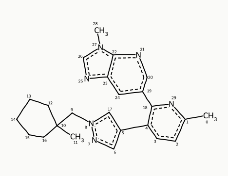 Cc1ccc(-c2cnn(CC3(C)CCCCC3)c2)c(-c2cnc3c(c2)ncn3C)n1